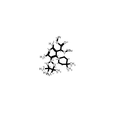 Cc1nc(C)c(C(OC(C)(C)C)C(=O)OC(C)C)c(N2CCC(C)(C)CC2)c1B1OC(C)(C)C(C)(C)O1